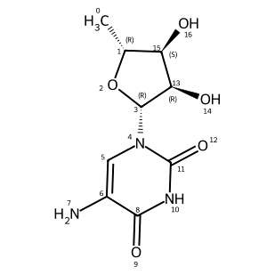 C[C@H]1O[C@@H](n2cc(N)c(=O)[nH]c2=O)[C@H](O)[C@@H]1O